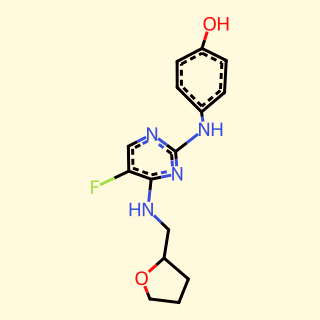 Oc1ccc(Nc2ncc(F)c(NCC3CCCO3)n2)cc1